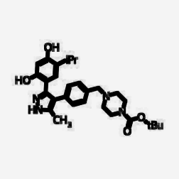 Cc1[nH]nc(-c2cc(C(C)C)c(O)cc2O)c1-c1ccc(CN2CCN(C(=O)OC(C)(C)C)CC2)cc1